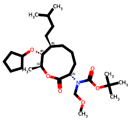 COCN(C(=O)OC(C)(C)C)[C@H]1CCC[C@H](CCC(C)C)[C@@H](OC2CCCC2)[C@H](C)OC1=O